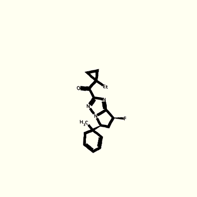 CCC1(C(=O)c2nc3n(n2)[C@H](C2(C)C=CC=CC2)C[C@@H]3F)CC1